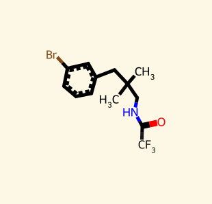 CC(C)(CNC(=O)C(F)(F)F)Cc1cccc(Br)c1